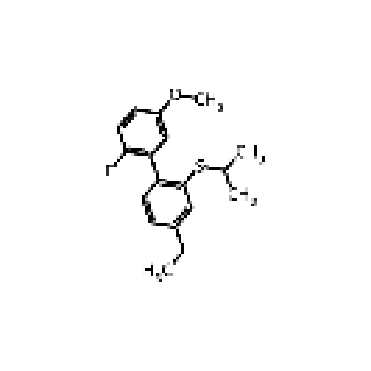 CCc1ccc(-c2cc(OC)ccc2F)c(SC(C)C)c1